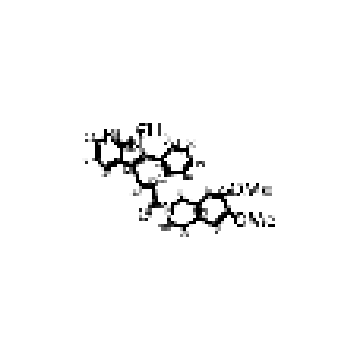 COc1cc2c(cc1OC)CN(C(=O)/C=C/c1c(-c3ccccc3)n(C)c3ncccc13)CC2